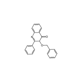 O=C1c2ccccc2N=C(c2ccccc2)C1OCc1ccccc1